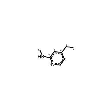 CBc1cc(CC)ccn1